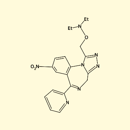 CCN(CC)OCc1nnc2n1-c1ccc([N+](=O)[O-])cc1C(c1ccccn1)=NC2